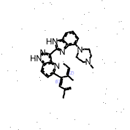 C=C(C)/C=C(\C(C)=C/C)c1ccc2[nH]nc(-c3nc4c(N5CCN(C)CC5)cccc4[nH]3)c2n1